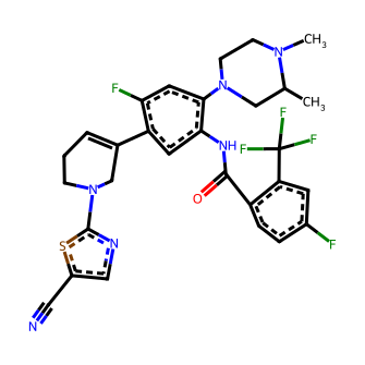 CC1CN(c2cc(F)c(C3=CCCN(c4ncc(C#N)s4)C3)cc2NC(=O)c2ccc(F)cc2C(F)(F)F)CCN1C